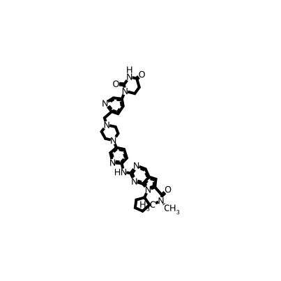 CN(C)C(=O)c1cc2cnc(Nc3ccc(N4CCN(Cc5ccc(N6CCC(=O)NC6=O)cn5)CC4)cn3)nc2n1C1CCCC1